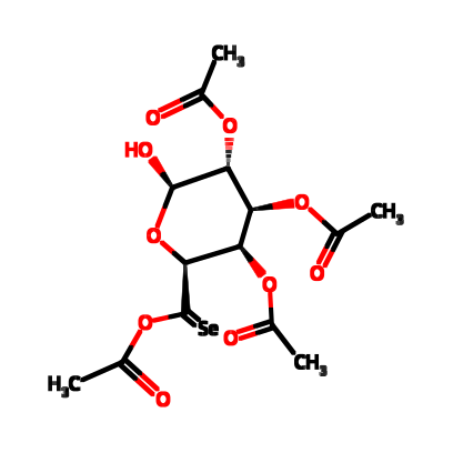 CC(=O)OC(=[Se])[C@H]1O[C@@H](O)[C@H](OC(C)=O)[C@@H](OC(C)=O)[C@H]1OC(C)=O